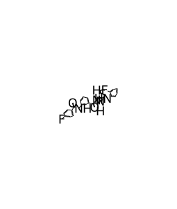 O=C(NNC(=S)Nc1ccccc1F)c1cccc(NC(=O)c2ccc(F)cc2)c1